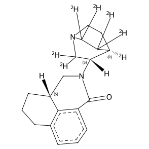 [2H]C1([2H])[C@@H](N2C[C@H]3CCCc4cccc(c43)C2=O)[C@]2([2H])CCN1C([2H])([2H])C2([2H])[2H]